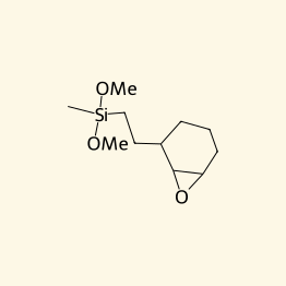 CO[Si](C)(CCC1CCCC2OC12)OC